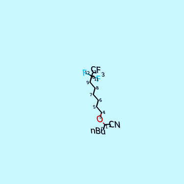 CCCCC(C#N)OCCCCCCC(F)(F)C(F)(F)F